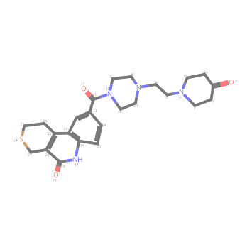 O=C1CCN(CCN2CCN(C(=O)c3ccc4[nH]c(=O)c5c(c4c3)CCSC5)CC2)CC1